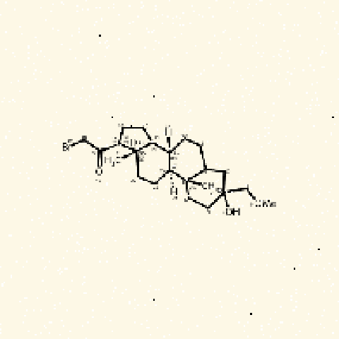 COCC1(O)CC[C@@]2(C)C(CC[C@H]3[C@@H]4CC[C@H](C(=O)CBr)[C@@]4(C)CC[C@@H]32)C1